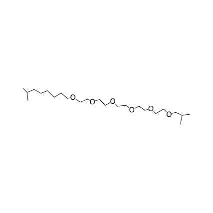 CC(C)CCCCCCOCCOCCOCCOCCOCCOCC(C)C